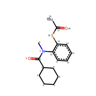 CN(C(=O)C1CCCCC1)c1ccccc1SC(=O)C(C)(C)C